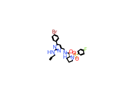 C#CCNc1nc(CNC(=O)[C@@H]2CCCN2S(=O)(=O)c2ccc(F)cc2)cc(-c2ccc(Br)cc2)n1